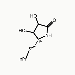 CCCSC[C@H]1NC(=O)C(O)C1O